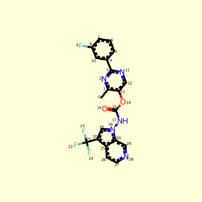 Cc1nc(-c2cccc(F)c2)ncc1OC(=O)Nn1cc(C(F)(F)F)c2ccncc21